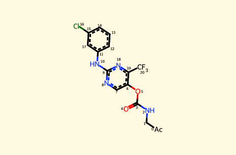 CC(=O)CNC(=O)Oc1cnc(Nc2cccc(Cl)c2)nc1C(F)(F)F